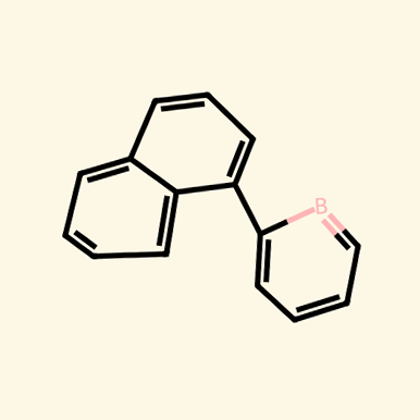 b1ccccc1-c1cccc2ccccc12